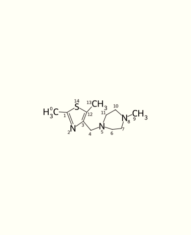 Cc1nc(CN2CCN(C)CC2)c(C)s1